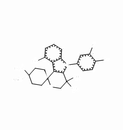 CO[C@]1(C(=O)O)CC[C@]2(CC1)OCC(C)(C)c1c2c2c(O)cccc2n1-c1ccc(F)c(F)c1